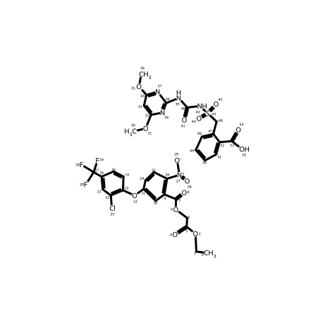 CCOC(=O)COC(=O)c1cc(Oc2ccc(C(F)(F)F)cc2Cl)ccc1[N+](=O)[O-].COc1cc(OC)nc(NC(=O)NS(=O)(=O)Cc2ccccc2C(=O)O)n1